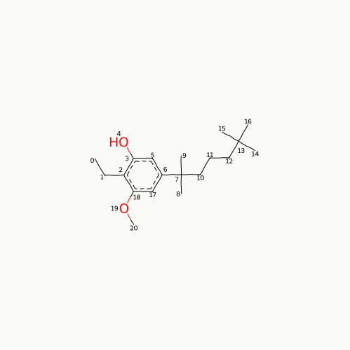 CCc1c(O)cc(C(C)(C)CCCC(C)(C)C)cc1OC